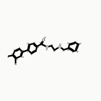 Cc1ccc(-c2ccc(C(=O)OCCOCc3ccccc3)cc2)cc1C